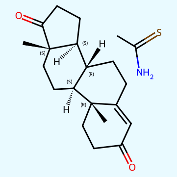 CC(N)=S.C[C@]12CCC(=O)C=C1CC[C@@H]1[C@@H]2CC[C@]2(C)C(=O)CC[C@@H]12